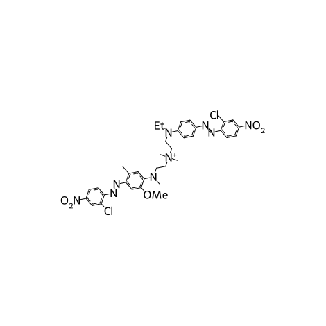 CCN(CC[N+](C)(C)CCN(C)c1cc(C)c(N=Nc2ccc([N+](=O)[O-])cc2Cl)cc1OC)c1ccc(N=Nc2ccc([N+](=O)[O-])cc2Cl)cc1